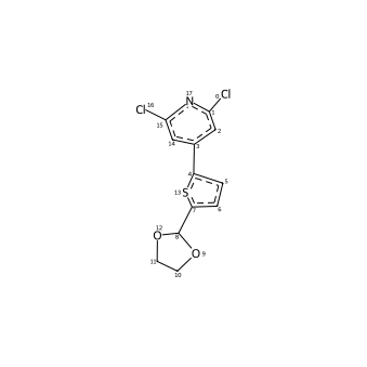 Clc1cc(-c2ccc(C3OCCO3)s2)cc(Cl)n1